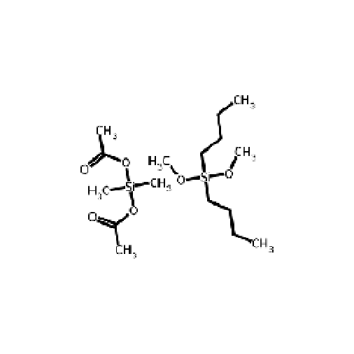 CC(=O)O[Si](C)(C)OC(C)=O.CCCC[Si](CCCC)(OC)OC